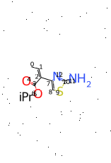 CC=C(C(=O)OC(C)C)c1csc(N)n1